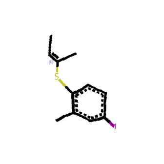 C/C=C(\C)Sc1ccc(I)cc1C